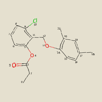 CCC(=O)Oc1cccc(Cl)c1COc1ccc(C)cc1C